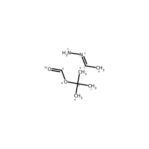 C/C=N/N.CC(C)(C)OC=O